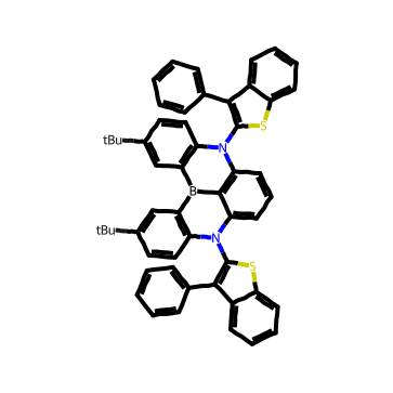 CC(C)(C)c1ccc2c(c1)B1c3cc(C(C)(C)C)ccc3N(c3sc4ccccc4c3-c3ccccc3)c3cccc(c31)N2c1sc2ccccc2c1-c1ccccc1